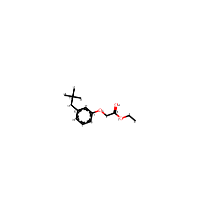 CCOC(=O)COc1cccc(CC(C)(C)C)c1